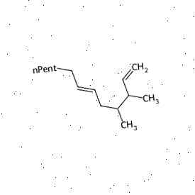 C=CC(C)C(C)CC=CCCCCCC